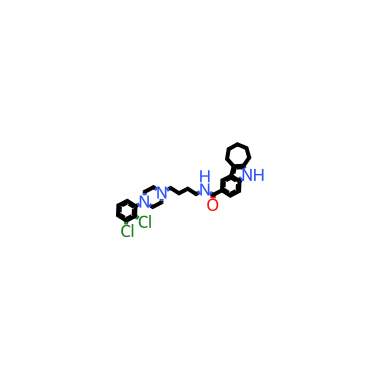 O=C(NCCCCN1CCN(c2cccc(Cl)c2Cl)CC1)c1ccc2[nH]c3c(c2c1)CCCCC3